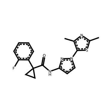 Cc1nc(C)c(-n2ccc(NC(=O)C3(c4ccccc4F)CC3)n2)s1